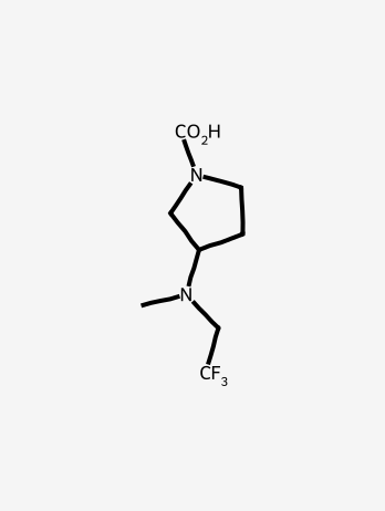 CN(CC(F)(F)F)C1CCN(C(=O)O)C1